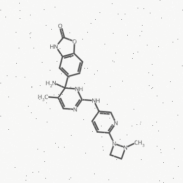 CC1=CN=C(Nc2ccc(N3CCN3C)nc2)NC1(N)c1ccc2oc(=O)[nH]c2c1